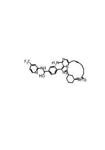 Nc1ncc2n3c(nc(-c4ccc(C(O)Nc5cc(C(F)(F)F)ccn5)cc4)c13)[C@@H]1CCC[C@H](C1)NC(=O)CCC/C=C\C2